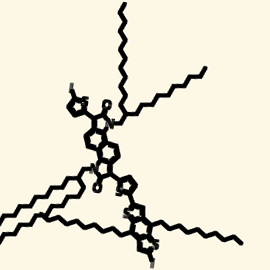 CCCCCCCCCCCCC(CCCCCCCCCC)CN1C(=O)C(c2ccc(I)s2)=c2ccc3c4c(ccc3c21)=C(c1ccc(-c2cc3c(CCCCCCCCCC)c5sc(I)cc5c(CCCCCCCCCC)c3s2)s1)C(=O)N4CC(CCCCCCCCCC)CCCCCCCCCCCC